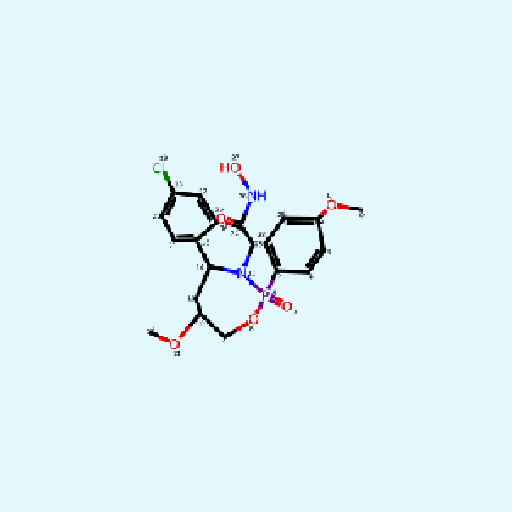 COc1ccc(P2(=O)OCC(OC)CC(c3ccc(Cl)cc3)N2CC(=O)NO)cc1